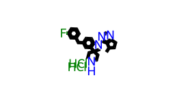 CC1CCc2ncnc(N3CC4(CCNCC4)c4cc(Cc5cccc(F)c5)ccc43)c21.Cl.Cl